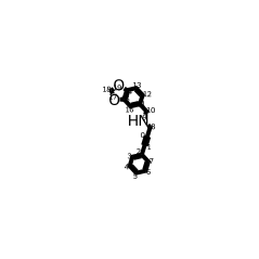 C(#Cc1ccccc1)CNCc1ccc2c(c1)OCO2